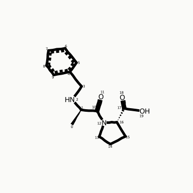 C[C@@H](NCc1ccccc1)C(=O)N1CCC[C@H]1C(=O)O